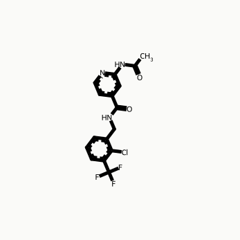 CC(=O)Nc1cc(C(=O)NCc2cccc(C(F)(F)F)c2Cl)ccn1